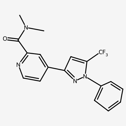 CN(C)C(=O)c1cc(-c2cc(C(F)(F)F)n(-c3ccccc3)n2)ccn1